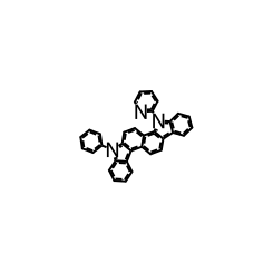 c1ccc(-n2c3ccccc3c3c4ccc5c6ccccc6n(-c6ccccn6)c5c4ccc32)cc1